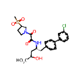 CS(=O)(=O)C1CCN(C(=O)C(=O)N[C@H](Cc2ccc(-c3cccc(Cl)c3)cc2)C[C@@H](O)C(=O)O)C1